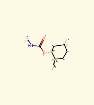 CCNC(=O)O[C@@H]1C[C@H](C)CC[C@H]1C(C)C